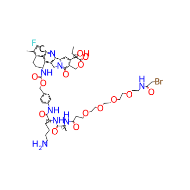 CC[C@@]1(O)C(=O)OCc2c1cc1n(c2=O)Cc2c-1nc1cc(F)c(C)c3c1c2C(NC(=O)OCc1ccc(NC(=O)[C@H](CCCCN)NC(=O)[C@H](C)NC(=O)CCOCCOCCOCCOCCNC(=O)CBr)cc1)CC3